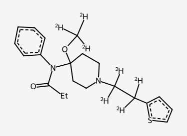 [2H]C([2H])([2H])OC1(N(C(=O)CC)c2ccccc2)CCN(C([2H])([2H])C([2H])([2H])c2cccs2)CC1